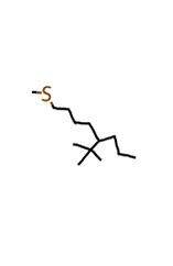 CCCC(CCCCSC)C(C)(C)C